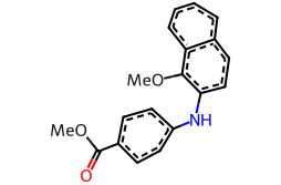 COC(=O)c1ccc(Nc2ccc3ccccc3c2OC)cc1